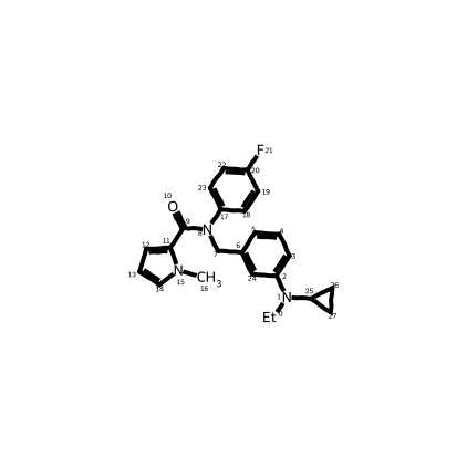 CCN(c1cccc(CN(C(=O)c2cccn2C)c2ccc(F)cc2)c1)C1CC1